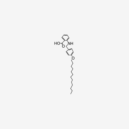 CCCCCCCCCCCCCOc1ccc(CNc2ccccc2C(=O)O)cc1